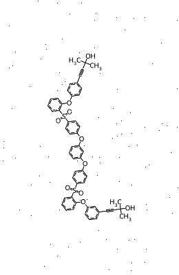 CC(C)(O)C#Cc1ccc(Oc2ccccc2S(=O)(=O)c2ccc(Oc3cccc(Oc4ccc(S(=O)(=O)c5ccccc5Oc5cccc(C#CC(C)(C)O)c5)cc4)c3)cc2)cc1